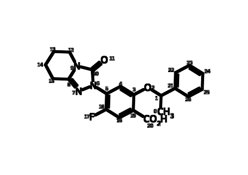 CC(Oc1cc(-n2nc3n(c2=O)CCCC3)c(F)cc1C(=O)O)c1ccccc1